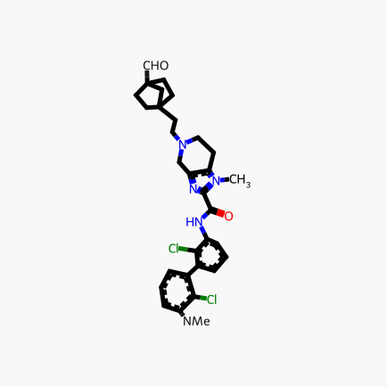 CNc1cccc(-c2cccc(NC(=O)c3nc4c(n3C)CCN(CCC35CCC(C=O)(CC3)C5)C4)c2Cl)c1Cl